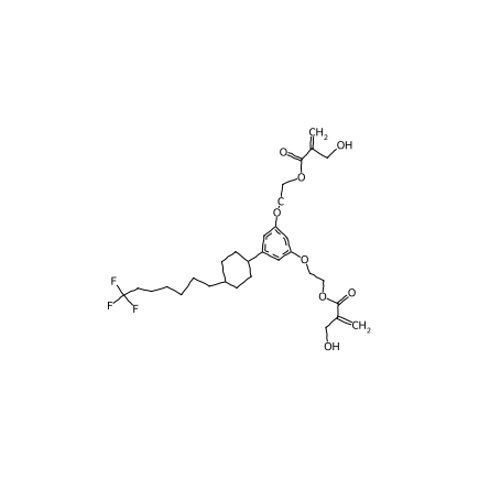 C=C(CO)C(=O)OCCOc1cc(OCCOC(=O)C(=C)CO)cc(C2CCC(CCCCCCC(F)(F)F)CC2)c1